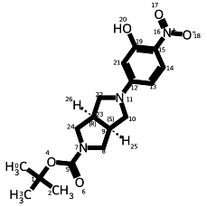 CC(C)(C)OC(=O)N1C[C@@H]2CN(c3ccc([N+](=O)[O-])c(O)c3)C[C@@H]2C1